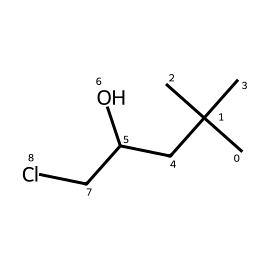 CC(C)(C)CC(O)CCl